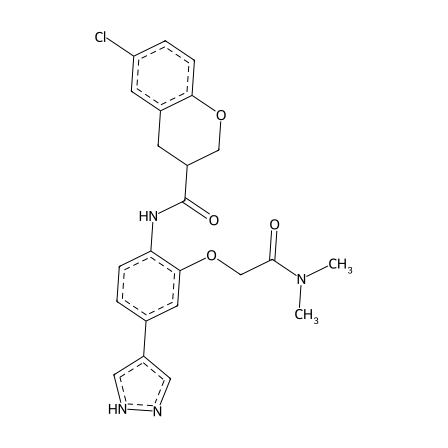 CN(C)C(=O)COc1cc(-c2cn[nH]c2)ccc1NC(=O)C1COc2ccc(Cl)cc2C1